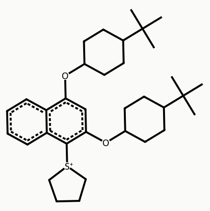 CC(C)(C)C1CCC(Oc2cc(OC3CCC(C(C)(C)C)CC3)c3ccccc3c2[S+]2CCCC2)CC1